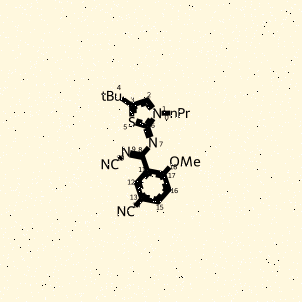 CCCn1cc(C(C)(C)C)s/c1=N\C(=N\C#N)c1cc(C#N)ccc1OC